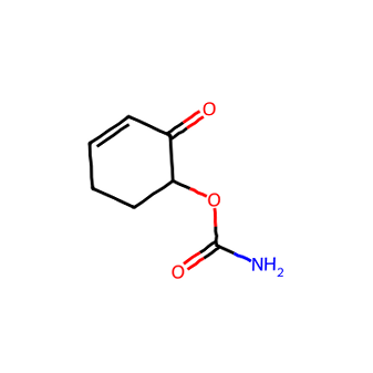 NC(=O)OC1CCC=CC1=O